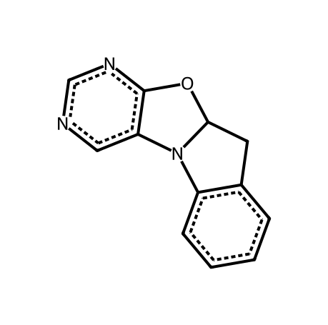 c1ccc2c(c1)CC1Oc3ncncc3N21